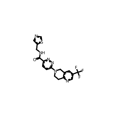 O=C(NCc1cncs1)c1ccc(N2CCc3ncc(C(F)(F)F)cc3C2)nn1